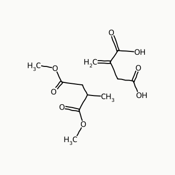 C=C(CC(=O)O)C(=O)O.COC(=O)CC(C)C(=O)OC